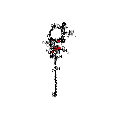 CCCC[C@H](NC(=O)[C@H](CCNC(=O)CN(CC(=O)O)CC(=O)O)NC(=O)[C@H](CC1=CCC=N1)NC(=O)[C@H](CCC(N)=O)NC(=O)[C@H](CO)NC(=O)CNC(=O)COCCOCCNC(=O)CCCCCCCCCCCCCCCc1nnn[nH]1)C(=O)N[C@H]1CCC(=O)CCCCC[C@@H](C(N)=O)NC(=O)[C@H](Cc2c[nH]c3ccccc23)NC(=O)[C@H](CCCNC(=N)N)NC(=O)[C@@H](Cc2ccccc2)NC(=O)[C@@H]2C[C@@H](O)CN2C1=O